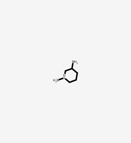 NC1CCC[SH](N)C1